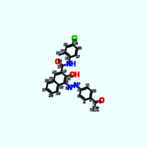 CCC(=O)c1ccc(/N=N/c2c(O)c(C(=O)Nc3ccc(Cl)cc3C)cc3ccccc23)cc1